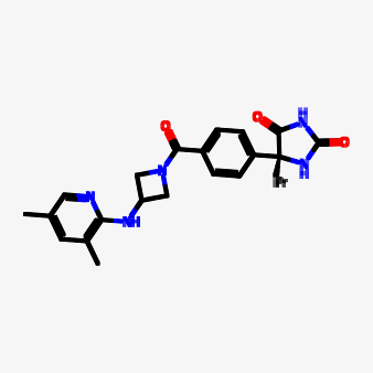 Cc1cnc(NC2CN(C(=O)c3ccc([C@@]4(C(C)C)NC(=O)NC4=O)cc3)C2)c(C)c1